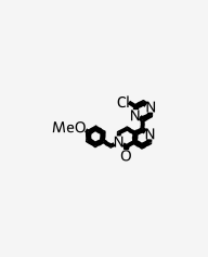 COc1ccc(CN2CCc3c(ccnc3-c3cncc(Cl)n3)C2=O)cc1